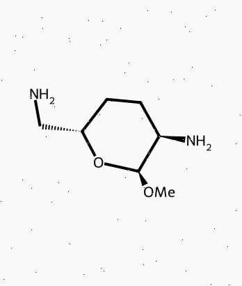 CO[C@H]1O[C@H](CN)CC[C@H]1N